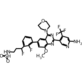 COc1cc(-c2cccc(C(F)CCN[SH](=O)=O)c2F)cc2c(N3CCOCC3)nc(-c3cnc(N)cc3C(F)(F)F)nc12